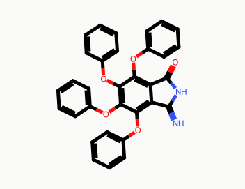 N=C1NC(=O)c2c(Oc3ccccc3)c(Oc3ccccc3)c(Oc3ccccc3)c(Oc3ccccc3)c21